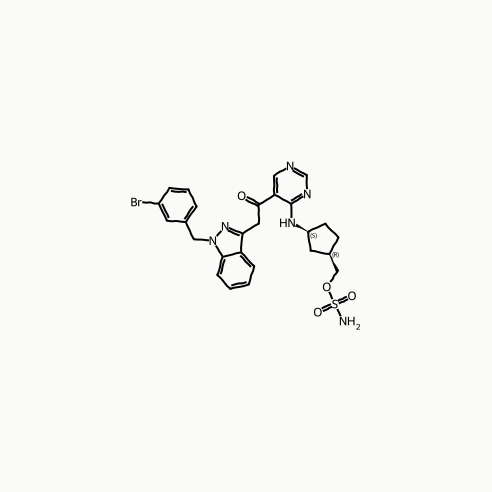 NS(=O)(=O)OC[C@@H]1CC[C@H](Nc2ncncc2C(=O)Cc2nn(Cc3cccc(Br)c3)c3ccccc23)C1